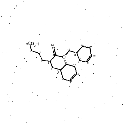 O=C(O)CCCC(CC1CC=CCC1)C(=O)OCC1CC=CCC1